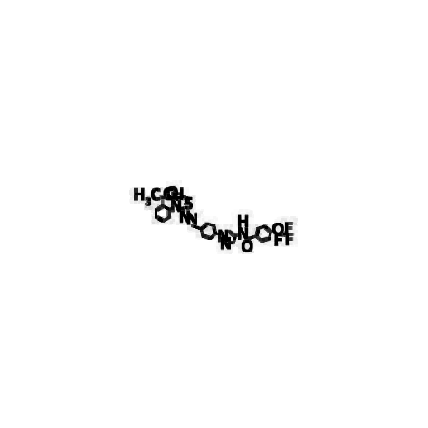 CC(C)c1ccccc1N1C(=O)CS/C1=N\N=C\c1ccc(-n2cc(NC(=O)c3ccc(OC(F)(F)F)cc3)cn2)cc1